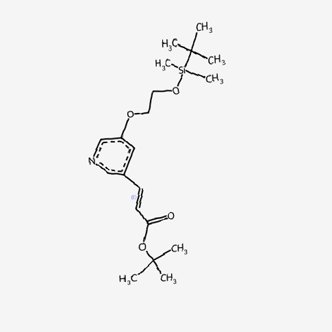 CC(C)(C)OC(=O)/C=C/c1cncc(OCCO[Si](C)(C)C(C)(C)C)c1